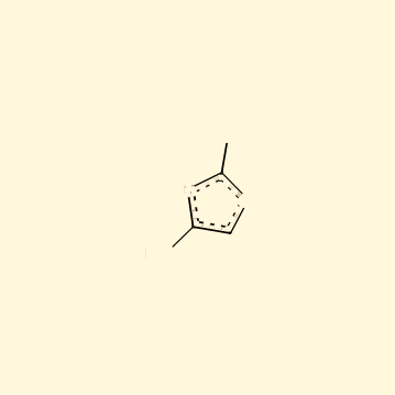 [CH2]c1csc(CCC)n1